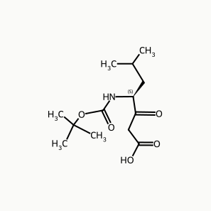 CC(C)C[C@H](NC(=O)OC(C)(C)C)C(=O)CC(=O)O